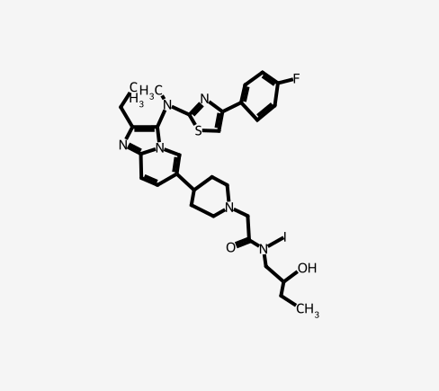 CCc1nc2ccc(C3CCN(CC(=O)N(I)CC(O)CC)CC3)cn2c1N(C)c1nc(-c2ccc(F)cc2)cs1